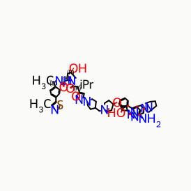 Cc1ncsc1-c1ccc([C@H](C)NC(=O)[C@@H]2C[C@@H](O)CN2C(=O)[C@@H](c2cc(N3CCC(CN4CCC(O[C@H]5C[C@H](CN6CCC(N7C8CCC7CN(c7cc(-c9ccccc9O)nnc7N)C8)CC6)C5)CC4)CC3)no2)C(C)C)cc1